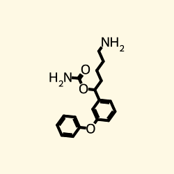 NCCCCC(OC(N)=O)c1cccc(Oc2ccccc2)c1